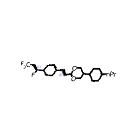 CCCC1CCC(C2COC(/C=C/C3CCC(/C(F)=C/C(F)(F)F)CC3)OC2)CC1